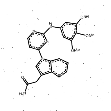 COc1cc(Nc2nccc(-n3cc(CC(N)=O)c4ccccc43)n2)cc(OC)c1OC